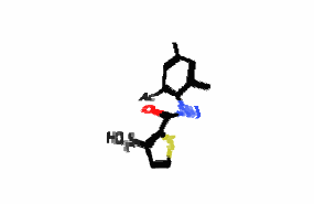 CC(=O)c1cc(C)cc(C)c1NC(=O)c1sccc1S(=O)(=O)O